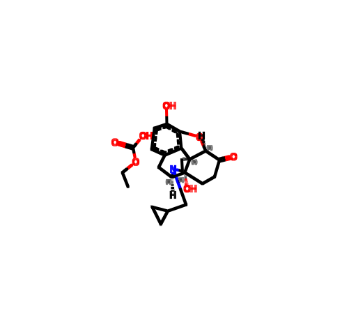 CCOC(=O)O.O=C1CC[C@@]2(O)[C@H]3Cc4ccc(O)c5c4[C@@]2(CCN3CC2CC2)[C@H]1O5